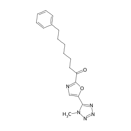 Cn1nnnc1-c1cnc(C(=O)CCCCCCc2ccccc2)o1